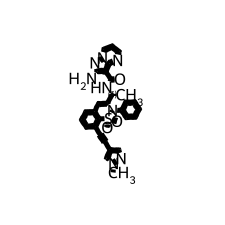 C[C@H](NC(=O)c1c(N)nn2cccnc12)C1=Cc2cccc(C#Cc3cnn(C)c3)c2S(=O)(=O)N1c1ccccc1